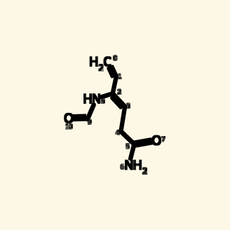 C=CC(=CCC(N)=O)NC=O